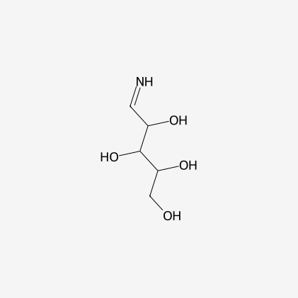 N=CC(O)C(O)C(O)CO